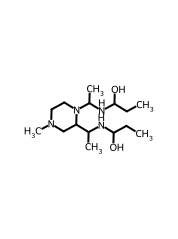 CCC(O)NC(C)C1CN(C)CCN1C(C)NC(O)CC